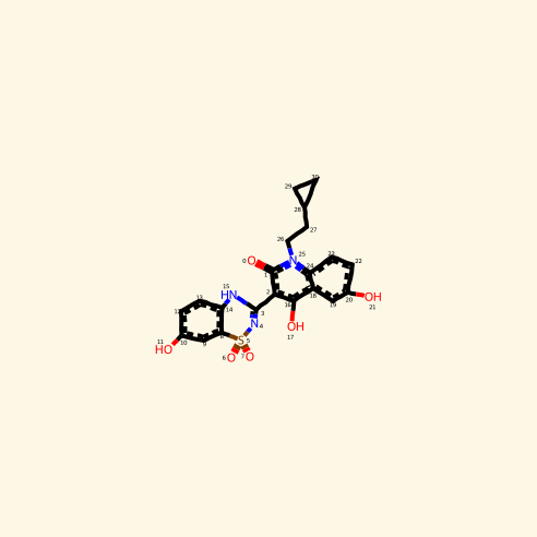 O=c1c(C2=NS(=O)(=O)c3cc(O)ccc3N2)c(O)c2cc(O)ccc2n1CCC1CC1